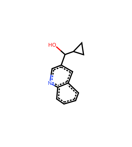 OC(c1cnc2ccccc2c1)C1CC1